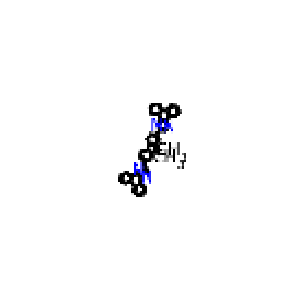 CC1(C)c2cc(-c3cnc4c5ccccc5c5ccccc5c4n3)ccc2-c2ccc(-c3cnc4c5ccccc5c5ccccc5c4n3)cc21